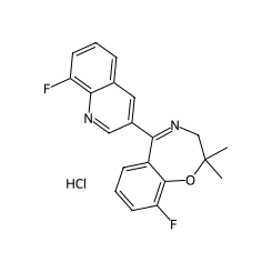 CC1(C)CN=C(c2cnc3c(F)cccc3c2)c2cccc(F)c2O1.Cl